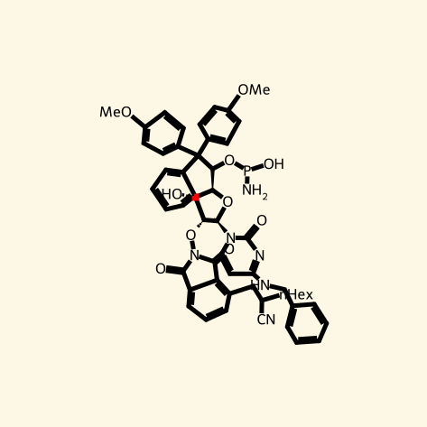 CCCCCCC(C#N)Cc1cccc2c1C(=O)N(O[C@@H]1[C@H](O)[C@@H](C(OP(N)O)C(c3ccccc3)(c3ccc(OC)cc3)c3ccc(OC)cc3)O[C@H]1n1ccc(NCc3ccccc3)nc1=O)C2=O